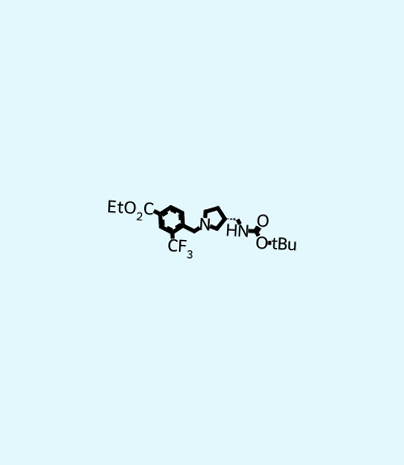 CCOC(=O)c1ccc(CN2CC[C@H](CNC(=O)OC(C)(C)C)C2)c(C(F)(F)F)c1